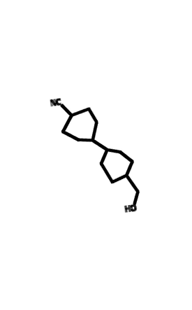 N#CC1CCC(C2CCC(CO)CC2)CC1